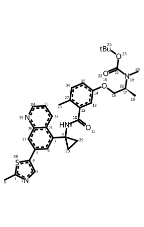 Cc1ncc(-c2cc(C3(NC(=O)c4cc(OC[C@H](C)N(C)C(=O)OC(C)(C)C)ccc4C)CC3)c3cccnc3c2)s1